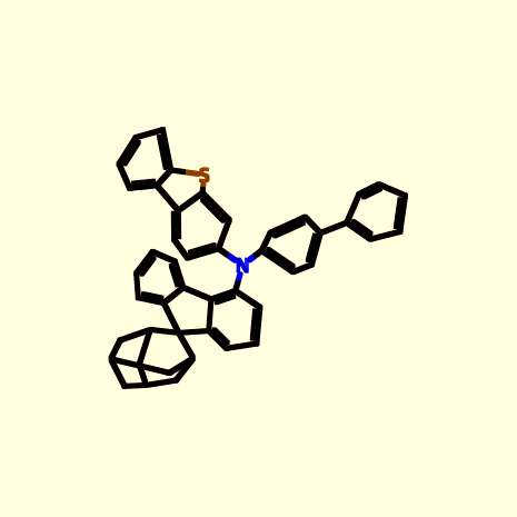 c1ccc(-c2ccc(N(c3ccc4c(c3)sc3ccccc34)c3cccc4c3-c3ccccc3C43C4CC5CC(C4)CC3C5)cc2)cc1